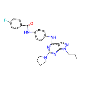 CCCn1ncc2c(Nc3ccc(NC(=O)c4ccc(F)cc4)cc3)nc(N3CCCC3)nc21